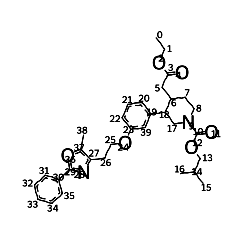 CCOC(=O)CC1CCN(C(=O)OCC(C)C)CC1c1cccc(OCCc2nc(-c3ccccc3)oc2C)c1